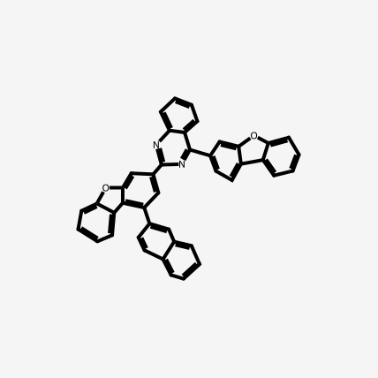 c1ccc2cc(-c3cc(-c4nc(-c5ccc6c(c5)oc5ccccc56)c5ccccc5n4)cc4oc5ccccc5c34)ccc2c1